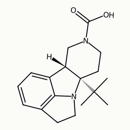 CC(C)(C)[C@@]12CCN(C(=O)O)C[C@H]1c1cccc3c1N2CC3